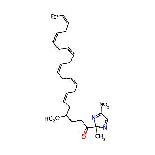 CC/C=C\C/C=C\C/C=C\C/C=C\C/C=C\C/C=C\CC(CCC(=O)C1(C)N=CC([N+](=O)[O-])=N1)C(=O)O